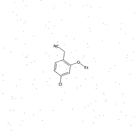 CCOc1cc(Cl)ccc1CC#N